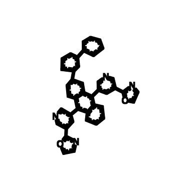 c1ccc(-c2cccc(-c3ccc4c(-c5cncc(-c6ncco6)c5)c5ccccc5c(-c5cncc(-c6ncco6)c5)c4c3)c2)cc1